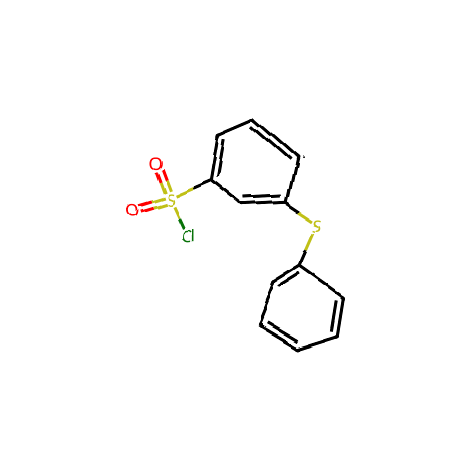 O=S(=O)(Cl)c1cc[c]c(Sc2ccccc2)c1